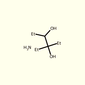 CCC(O)C(O)(CC)CC.N